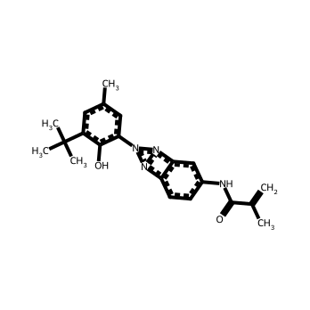 C=C(C)C(=O)Nc1ccc2c(c1)n1n(-c3cc(C)cc(C(C)(C)C)c3O)n21